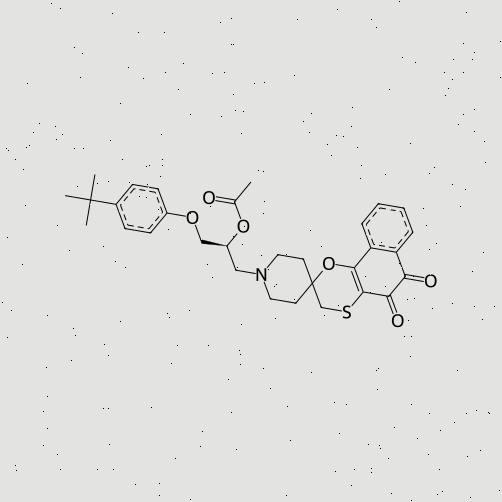 CC(=O)O[C@H](COc1ccc(C(C)(C)C)cc1)CN1CCC2(CC1)CSC1=C(O2)c2ccccc2C(=O)C1=O